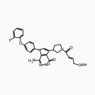 COCC=CC(=O)N1CCC(c2cn(-c3ccc(Oc4ccccc4F)cc3)c3c(N)n[nH]c(=O)c23)C1